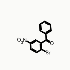 O=C(c1ccccc1)c1cc([N+](=O)[O-])ccc1Br